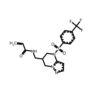 C=CC(=O)NCC1CN(S(=O)(=O)c2ccc(C(F)(F)F)cc2)c2ccnn2C1